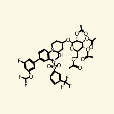 CC(=O)OC[C@H]1O[C@@H](OC2CCN3c4ccc(-c5cc(F)cc(OC(F)F)c5)cc4N(S(=O)(=O)c4cccc(C(F)(F)F)c4)C[C@@H]3C2)[C@H](OC(C)=O)[C@@H](OC(C)=O)[C@@H]1OC(C)=O